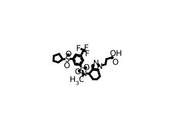 CN(C1CCCc2c1cnn2CCC(=O)O)S(=O)(=O)c1cc(C(F)(F)F)cc(S(=O)(=O)C2CCCC2)c1